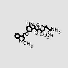 Cc1cc(COc2ccc3c(c2)C(C(=O)C2C(C(=O)O)CC4(CC4C(N)=O)CN2C)CN3)c2ccccc2n1